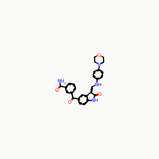 NC(=O)c1cccc(C(=O)c2ccc3c(c2)C(=CNc2ccc(N4CCOCC4)cc2)C(=O)N3)c1